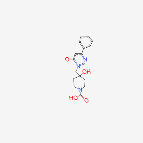 O=C(O)N1CCC(O)(Cn2cnc(-c3ccccc3)cc2=O)CC1